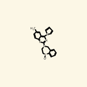 Cc1ccc2nc(N3CC[S+]([O-])c4ccccc4C3)nc(-n3cccc3)c2c1